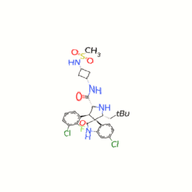 CC(C)(C)C[C@H]1N[C@@H](C(=O)N[C@H]2C[C@@H](NS(C)(=O)=O)C2)[C@H](c2cccc(Cl)c2F)[C@@]12C(=O)Nc1cc(Cl)ccc12